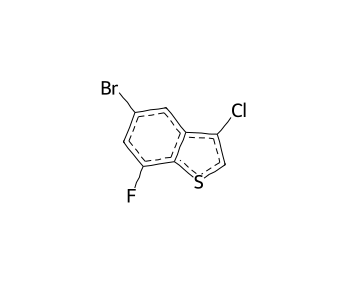 Fc1cc(Br)cc2c(Cl)csc12